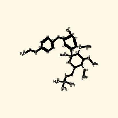 CCCCO[C@H]1[C@H](OCCCC)[C@@H](CO[Si](C)(C)C)O[C@@](OC)(c2ccc(Cl)c(Cc3ccc(OCC(F)(F)F)cc3)c2)[C@@H]1OCCCC